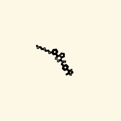 COCCOCCOc1cccc(C(=O)N2CCC[C@H]2C(=O)NCc2ccc(-c3scnc3C)cc2)c1